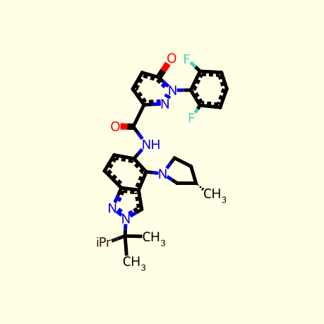 CC(C)C(C)(C)n1cc2c(N3CC[C@H](C)C3)c(NC(=O)c3ccc(=O)n(-c4c(F)cccc4F)n3)ccc2n1